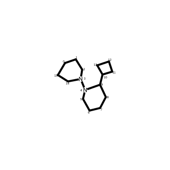 C1CCN(N2CCCCC2C2CCC2)CC1